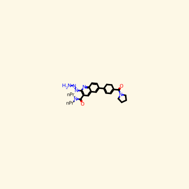 CCCN(CCC)C(=O)c1cc2cc(C3=CC=C(C(=O)N4CCCC4)CC3)ccc2nc1N=NN